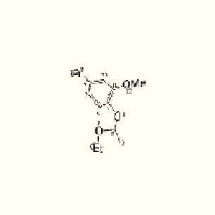 CCOC(C)Oc1ccc(C(C)C)cc1OC